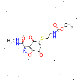 CNC(=O)c1noc2c1C(=O)C(SCCNC(=O)OC)=CC2=O